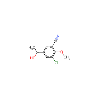 COc1c(Cl)cc(C(C)O)cc1C#N